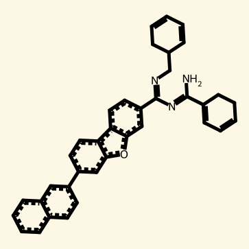 N/C(=N\C(=N/CC1C=CC=CC1)c1ccc2c(c1)oc1cc(-c3ccc4ccccc4c3)ccc12)C1=CC=CCC1